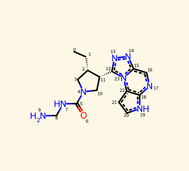 CC[C@H]1CN(C(=O)NCN)C[C@H]1c1nnc2cnc3[nH]ccc3n12